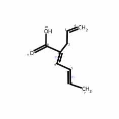 C=CC/C(=C\C=C\C)C(=O)O